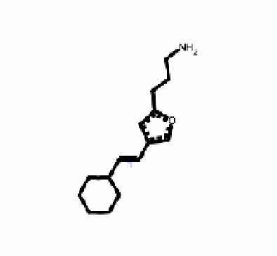 NCCCc1cc(/C=C/C2CCCCC2)co1